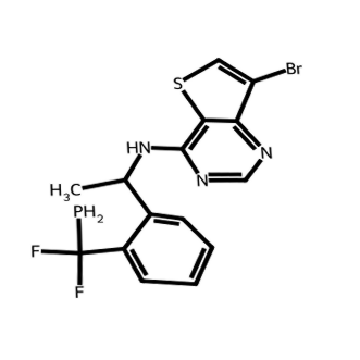 CC(Nc1ncnc2c(Br)csc12)c1ccccc1C(F)(F)P